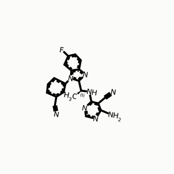 C[C@H](Nc1ncnc(N)c1C#N)c1nc2ccc(F)cc2n1-c1cccc(C#N)c1